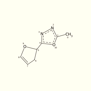 Cc1nnc([C]2CC=CO2)o1